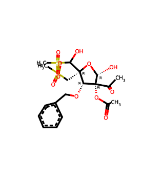 CC(=O)O[C@@]1(C(C)=O)[C@@H](O)O[C@](CS(C)(=O)=O)(C(O)S(C)(=O)=O)[C@H]1OCc1ccccc1